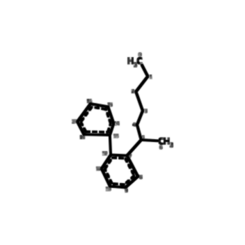 CCCCCC(C)c1ccccc1-c1ccccc1